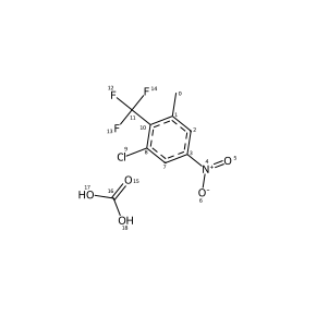 Cc1cc([N+](=O)[O-])cc(Cl)c1C(F)(F)F.O=C(O)O